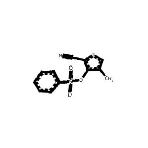 Cc1csc(C#N)c1OS(=O)(=O)c1ccccc1